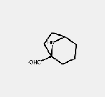 O=[C]C12CCCC(CC1)N2